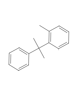 Cc1ccc[c]c1C(C)(C)c1ccccc1